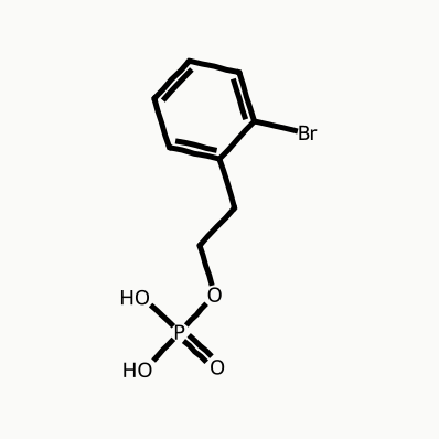 O=P(O)(O)OCCc1ccccc1Br